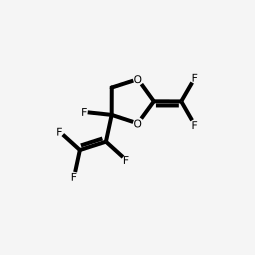 FC(F)=C1OCC(F)(C(F)=C(F)F)O1